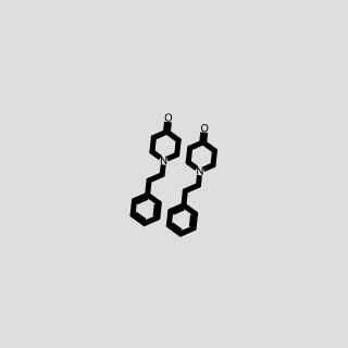 O=C1CCN(CCc2ccccc2)CC1.O=C1CCN(CCc2ccccc2)CC1